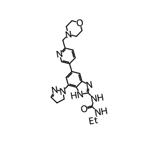 CCNC(=O)Nc1nc2cc(-c3ccc(CN4CCOCC4)nc3)cc(N3CCC=N3)c2[nH]1